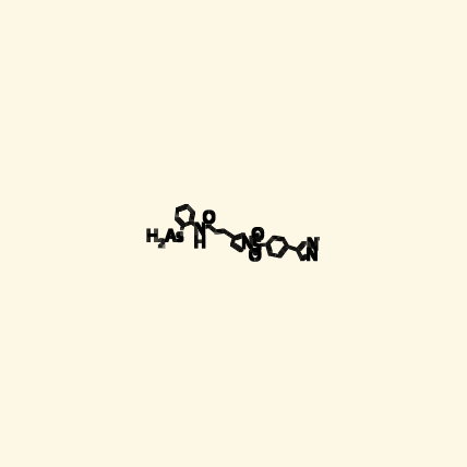 Cn1cc(-c2ccc(S(=O)(=O)n3ccc(/C=C/C(=O)Nc4ccccc4[AsH2])c3)cc2)cn1